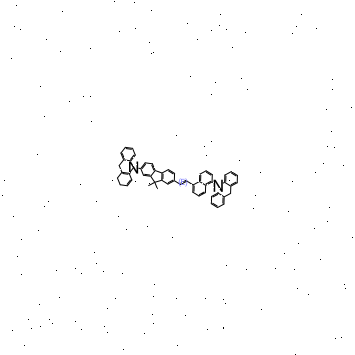 CC1(C)c2cc(/C=C/c3cccc4c(N5c6ccccc6Cc6ccccc65)cccc34)ccc2-c2ccc(N3C4=C(CCC=C4)Cc4ccccc43)cc21